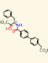 O=C(O)Cc1ccc(-c2ccc(C(=O)N[C@H](Cc3ccccc3)[C@@H](O)C(=O)O)cc2)cc1